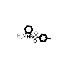 NC1CCCCC1NS(=O)(=O)c1ccc(I)cc1